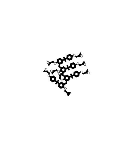 CC(C)(c1ccc(OCC2CO2)cc1)c1ccc(OCC2CC2)c(Cc2cc(C(C)(C)c3ccc(OCC4CO4)cc3)cc(Cc3cc(C(C)(C)c4ccc(OCC5CO5)cc4)cc(Cc4cc(C(C)(C)c5ccc(OCC6CO6)cc5)ccc4OCC4CO4)c3OCC3CO3)c2OCC2CO2)c1